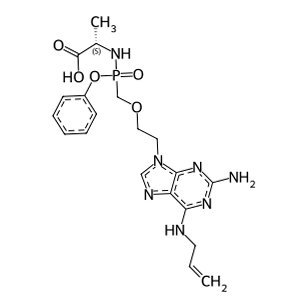 C=CCNc1nc(N)nc2c1ncn2CCOCP(=O)(N[C@@H](C)C(=O)O)Oc1ccccc1